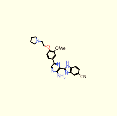 COc1cc(-c2cnc(N)c(-c3nc4cc(C#N)ccc4[nH]3)n2)ccc1OCCN1CCCC1